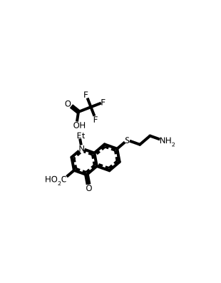 CCn1cc(C(=O)O)c(=O)c2ccc(SCCN)cc21.O=C(O)C(F)(F)F